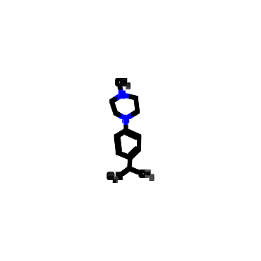 CC(c1ccc(N2CCN(C)CC2)cc1)[N+](=O)[O-]